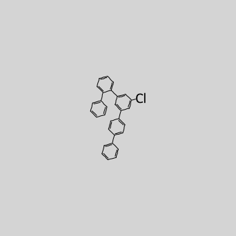 Clc1cc(-c2ccc(-c3ccccc3)cc2)cc(-c2ccccc2-c2ccccc2)c1